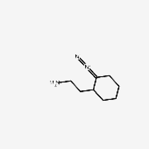 [N-]=[N+]=C1CCCCC1CCN